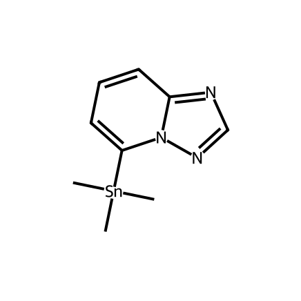 [CH3][Sn]([CH3])([CH3])[c]1cccc2ncnn12